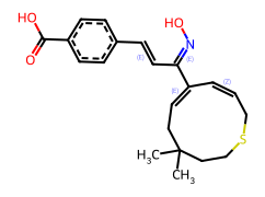 CC1(C)C/C=C(C(/C=C/c2ccc(C(=O)O)cc2)=N/O)\C=C/CSCC1